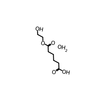 O.O=C(O)CCCCC(=O)OCCO